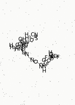 Cc1ncsc1-c1ccc(CNC(=O)[C@@H]2C[C@@H](O)CN2C(=O)[C@@H](NC(=O)CN2CCN(CCC3CN(c4ccc(-c5cnc6[nH]cc(C(=O)c7c(F)ccc(NS(=O)(=O)N8CC[C@@H](F)C8)c7F)c6c5)cc4)C3)CC2)C(C)(C)C)cc1